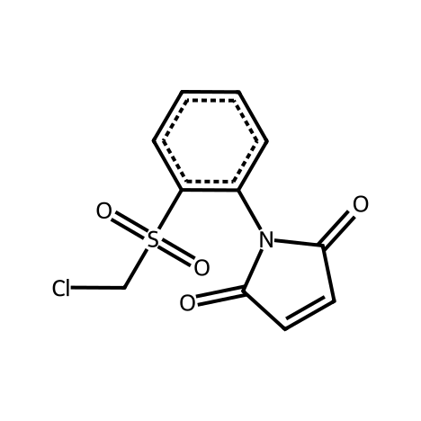 O=C1C=CC(=O)N1c1ccccc1S(=O)(=O)CCl